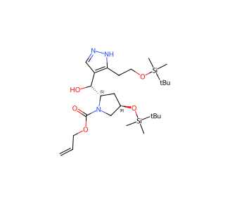 C=CCOC(=O)N1C[C@H](O[Si](C)(C)C(C)(C)C)C[C@H]1C(O)c1cn[nH]c1CCO[Si](C)(C)C(C)(C)C